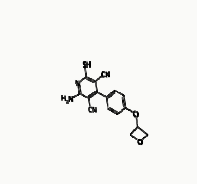 N#Cc1c(N)nc(S)c(C#N)c1-c1ccc(OC2COC2)cc1